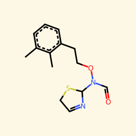 Cc1cccc(CCON(C=O)C2N=CCS2)c1C